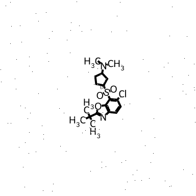 CN(C)C1CC[C@H](S(=O)(=O)c2c(Cl)ccc3nc(C(C)(C)C)oc23)C1